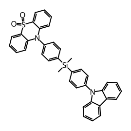 C[Si](C)(c1ccc(N2c3ccccc3S(=O)(=O)c3ccccc32)cc1)c1ccc(-n2c3ccccc3c3ccccc32)cc1